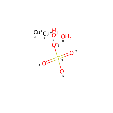 O.O.O=S(=O)([O-])[O-].[Cu+].[Cu+]